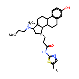 COCCNC1C[C@@H](CCC(=O)Nc2ncc(C)s2)C2C3CCc4cc(O)ccc4C3CC[C@]12C